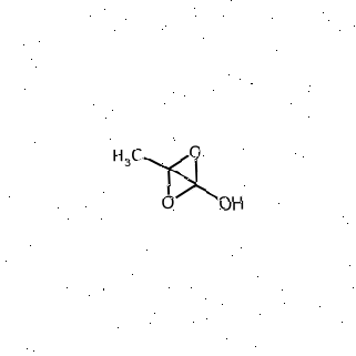 CC12OC1(O)O2